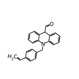 C=Cc1ccc(CN2c3ccccc3C(C=O)c3ccccc32)cc1